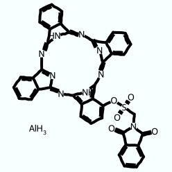 O=C1c2ccccc2C(=O)N1CS(=O)(=O)Oc1cccc2c3nc4nc(nc5[nH]c(nc6nc(nc([nH]3)c12)-c1ccccc1-6)c1ccccc51)-c1ccccc1-4.[AlH3]